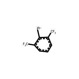 C[C](C)c1c(C(F)(F)F)cccc1C(F)(F)F